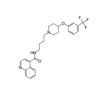 O=C(NCCCCN1CCC(Oc2cccc(C(F)(F)F)c2)CC1)c1ccnc2ccccc12